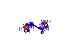 CN[C@@H](C)C(=O)N[C@H]1CCCC[C@H]2CC[C@@H](C(=O)N[C@@H](c3ccccc3)c3cn(CCCCCCCCn4cc([C@@H](NC(=O)[C@@H]5CC[C@@H]6CCCC[C@H](NC(=O)[C@H](C)NC)C(=O)N65)c5ccccc5)nn4)nn3)N2C1=O